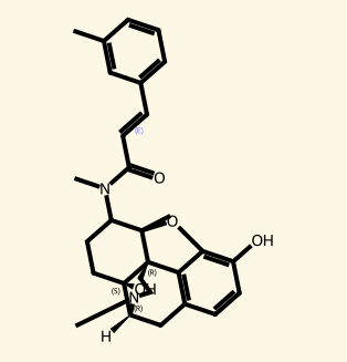 Cc1cccc(/C=C/C(=O)N(C)C2CC[C@@]3(O)[C@H]4Cc5ccc(O)c6c5[C@@]3(CCN4C)C2(C)O6)c1